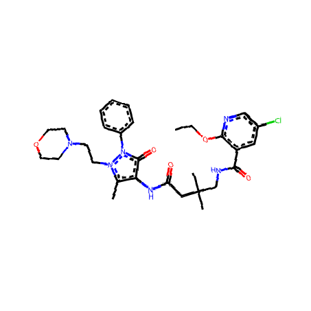 CCOc1ncc(Cl)cc1C(=O)NCC(C)(C)CC(=O)Nc1c(C)n(CCN2CCOCC2)n(-c2ccccc2)c1=O